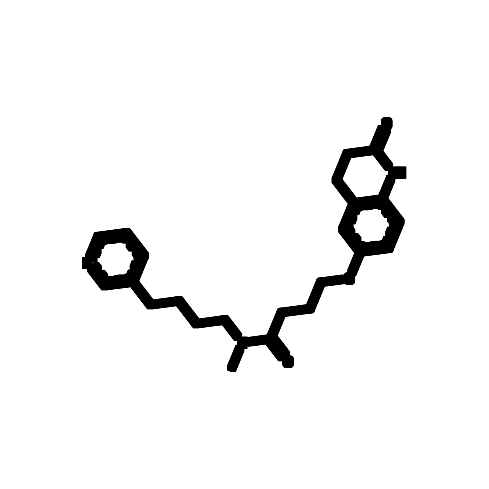 CN(CCCCc1cccnc1)C(=O)CCCOc1ccc2c(c1)CCC(=O)N2